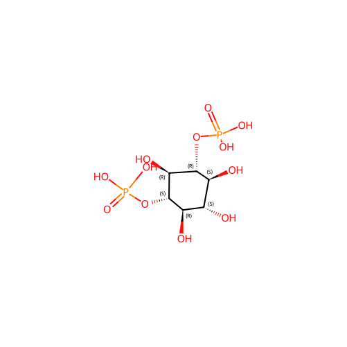 O=P(O)(O)O[C@@H]1[C@@H](O)[C@H](OP(=O)(O)O)[C@@H](O)[C@H](O)[C@H]1O